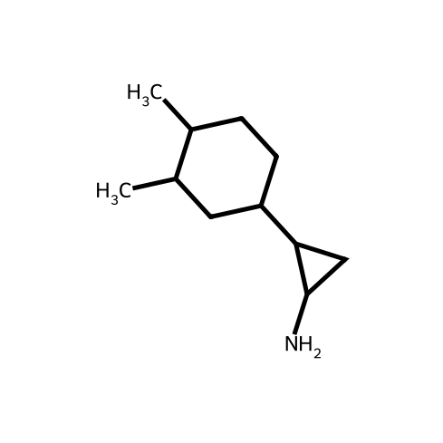 CC1CCC(C2CC2N)CC1C